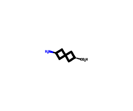 N[C@H]1CC2(C1)C[C@@H](C(=O)O)C2